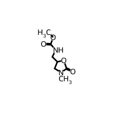 COC(=O)NCC1CN(C)C(=O)O1